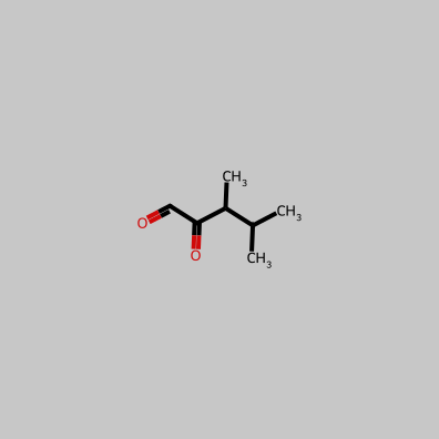 C[C](C)C(C)C(=O)C=O